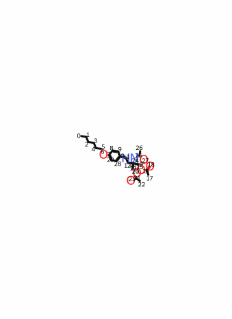 CCCCCCOc1ccc(CCC(COC(C)=O)(COC(C)=O)NC(C)=O)cc1